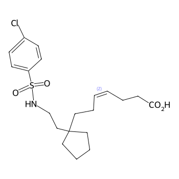 O=C(O)CC/C=C\CCC1(CCNS(=O)(=O)c2ccc(Cl)cc2)CCCC1